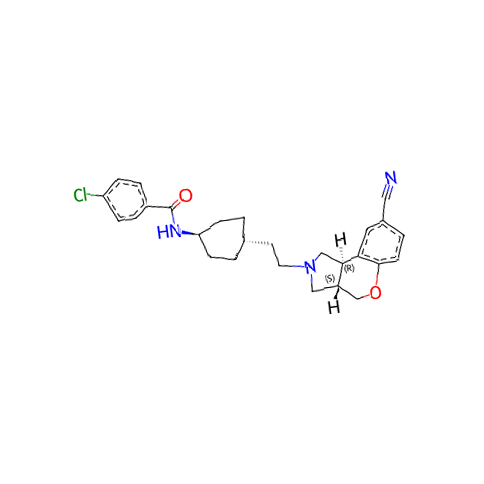 N#Cc1ccc2c(c1)[C@@H]1CN(CC[C@H]3CC[C@H](NC(=O)c4ccc(Cl)cc4)CC3)C[C@H]1CO2